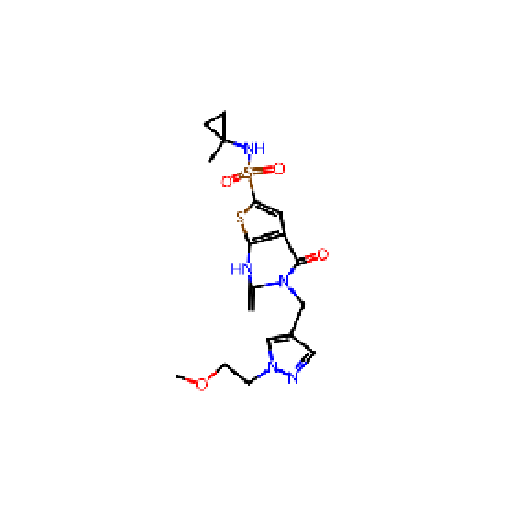 C=C1Nc2sc(S(=O)(=O)NC3(C)CC3)cc2C(=O)N1Cc1cnn(CCOC)c1